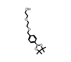 CC1(C)OB(c2ccc(COCCOCCO)cc2)OC1(C)C